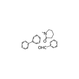 CN1CCCCC1=O.O=Cc1ccccc1.c1ccc(-c2ccccc2)cc1